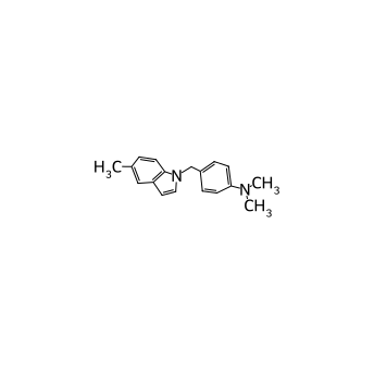 Cc1ccc2c(ccn2Cc2ccc(N(C)C)cc2)c1